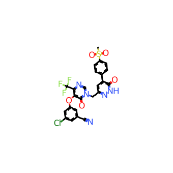 CS(=O)(=O)c1ccc(-c2cc(Cn3cnc(C(F)(F)F)c(Oc4cc(Cl)cc(C#N)c4)c3=O)n[nH]c2=O)cc1